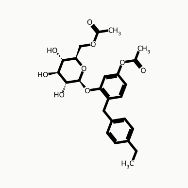 CCc1ccc(Cc2ccc(OC(C)=O)cc2O[C@@H]2O[C@H](COC(C)=O)[C@@H](O)[C@H](O)[C@H]2O)cc1